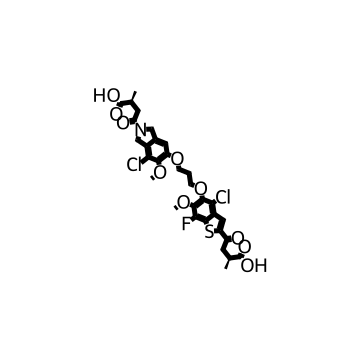 COc1c(OCCCOc2c(OC)c(F)c3sc(C(=O)C[C@H](C)C(=O)O)cc3c2Cl)cc2c(c1Cl)CN(C(=O)C[C@H](C)C(=O)O)C2